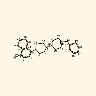 Fc1ccc(C2CCC(N3CCN(Cc4ccccc4)CC3)CC2)c2ccccc12